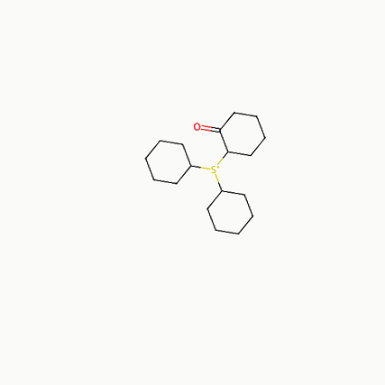 O=C1CCCCC1[S+](C1CCCCC1)C1CCCCC1